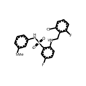 CSc1cccc(NS(=O)(=O)c2cc(F)ccc2NCc2c(F)cccc2Cl)c1